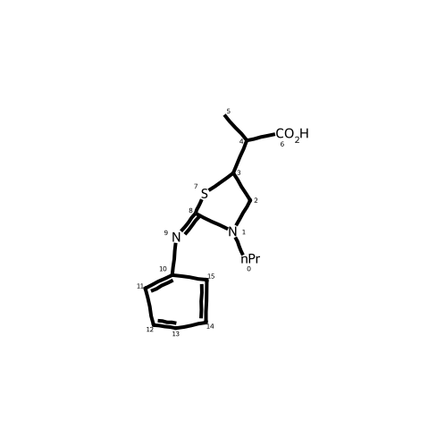 CCCN1CC(C(C)C(=O)O)SC1=Nc1ccccc1